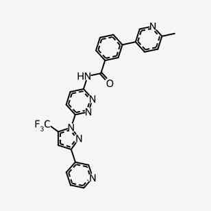 Cc1ccc(-c2cccc(C(=O)Nc3ccc(-n4nc(-c5cccnc5)cc4C(F)(F)F)nn3)c2)cn1